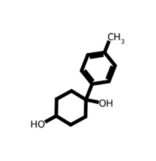 Cc1ccc(C2(O)CCC(O)CC2)cc1